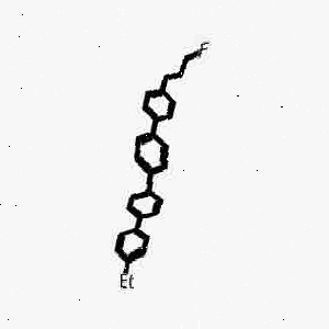 CCc1ccc(-c2ccc(-c3ccc(-c4ccc(CCCF)cc4)cc3)cc2)cc1